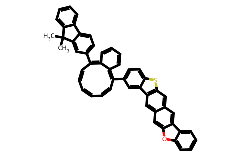 CC1(C)c2ccccc2-c2ccc(-c3ccccccc(-c4ccc5sc6cc7cc8c(cc7cc6c5c4)oc4ccccc48)c4ccccc34)cc21